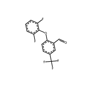 O=Cc1cc(C(F)(F)F)ccc1Oc1c(F)cccc1F